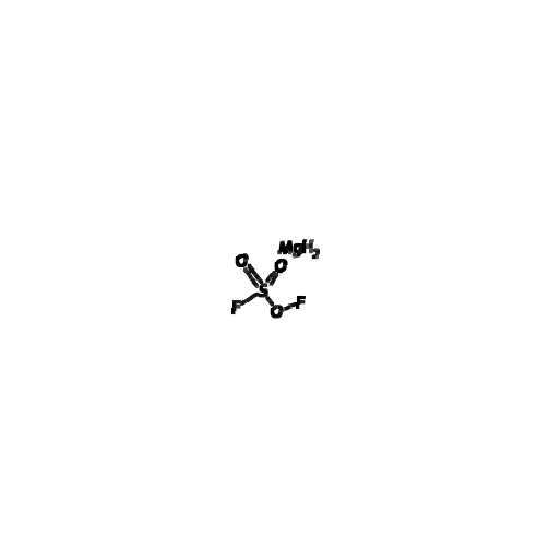 O=S(=O)(F)OF.[MgH2]